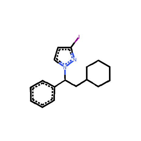 Ic1ccn(C(CC2CCCCC2)c2ccccc2)n1